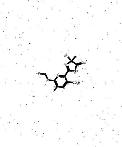 CC(C)C1(C)N=C(c2nc(OCF)c(F)cc2C(=O)O)NC1=O